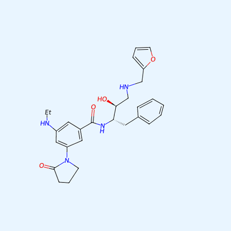 CCNc1cc(C(=O)N[C@@H](Cc2ccccc2)[C@@H](O)CNCc2ccco2)cc(N2CCCC2=O)c1